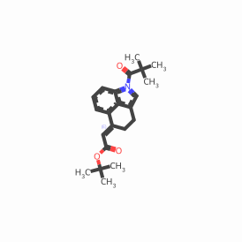 CC(C)(C)OC(=O)/C=C1\CCc2cn(C(=O)C(C)(C)C)c3cccc1c23